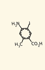 Cc1cc(N)c(I)cc1C(=O)O